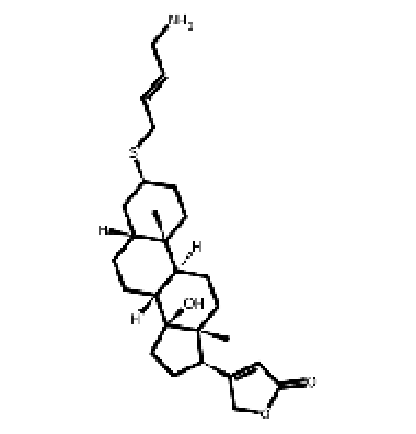 C[C@]12CC[C@H](SC/C=C/CN)C[C@H]1CC[C@@H]1[C@@H]2CC[C@]2(C)[C@@H](C3=CC(=O)OC3)CC[C@]12O